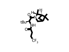 C[C@@H]1[C@@H]2CC(CN1C(=O)[C@@H](NC(=O)CCC(F)(F)F)C(C)(C)C)C2(C)C